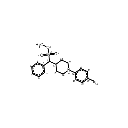 COS(=O)(=O)C(c1ccccc1)C1CCN(c2ccc(Br)cc2)CC1